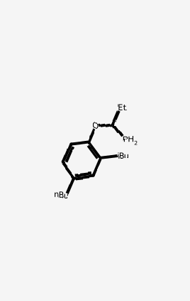 CCCCc1ccc(OC(P)CC)c(C(C)CC)c1